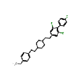 CCc1ccc(CCC2CCC(CCc3cc(F)c(-c4ccc(Cl)cc4)c(F)c3)CC2)cc1